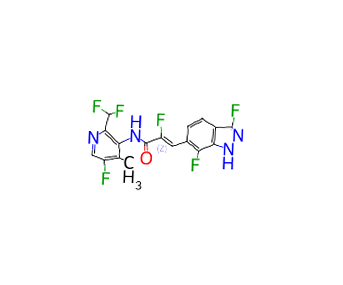 Cc1c(F)cnc(C(F)F)c1NC(=O)/C(F)=C/c1ccc2c(F)n[nH]c2c1F